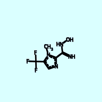 Cn1c(C(F)(F)F)cnc1C(=N)NO